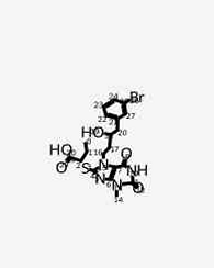 CCC(Sc1nc2c(c(=O)[nH]c(=O)n2C)n1CCC(O)Cc1cccc(Br)c1)C(=O)O